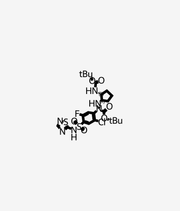 CC(C)(C)OC(=O)N[C@@H]1CCC[C@H]1NN(C(=O)OC(C)(C)C)c1cc(F)c(S(=O)(=O)Nc2ncns2)cc1Cl